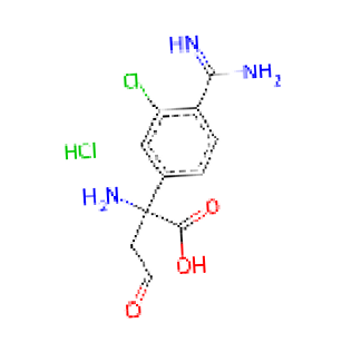 Cl.N=C(N)c1ccc(C(N)(CC=O)C(=O)O)cc1Cl